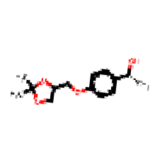 C[C@@H](O)c1ccc(OCC2COC(C)(C)O2)cc1